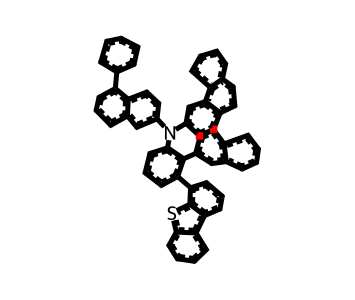 c1ccc(-c2cccc3cc(N(c4ccc5ccc6ccccc6c5c4)c4cccc(-c5cccc6c5sc5ccccc56)c4-c4ccc5ccccc5c4)ccc23)cc1